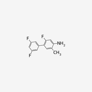 Cc1cc(-c2cc(F)cc(F)c2)c(F)cc1N